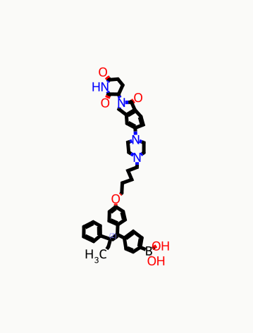 CC/C(=C(/c1ccc(OCCCCCN2CCN(c3ccc4c(c3)CN(C3CCC(=O)NC3=O)C4=O)CC2)cc1)c1ccc(B(O)O)cc1)c1ccccc1